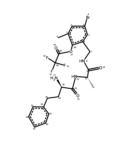 Cc1cc(Br)cc(CNC(=O)[C@H](C)NC(=O)[C@H](N)CCc2ccccc2)c1OC(=O)C(F)(F)F